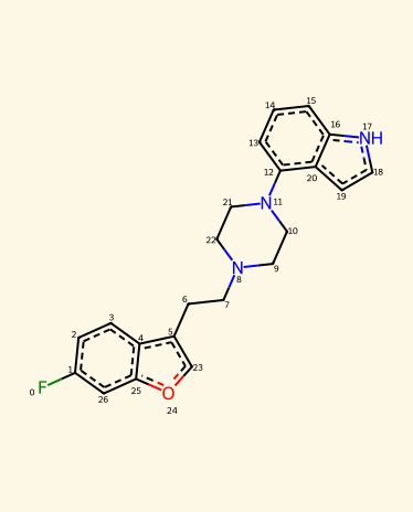 Fc1ccc2c(CCN3CCN(c4cccc5[nH]ccc45)CC3)coc2c1